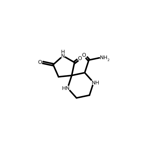 NC(=O)C1NCCNC12CC(=O)NC2=O